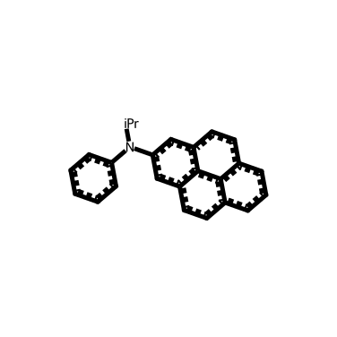 CC(C)N(c1ccccc1)c1cc2ccc3cccc4ccc(c1)c2c34